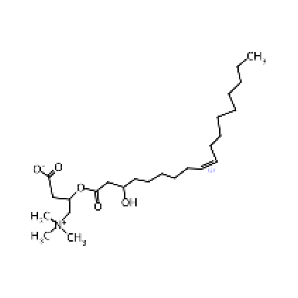 CCCCCCCC/C=C\CCCCCC(O)CC(=O)OC(CC(=O)[O-])C[N+](C)(C)C